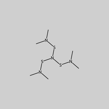 CN(C)SN(SN(C)C)SN(C)C